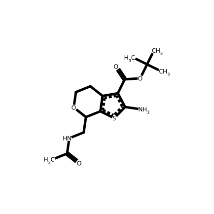 CC(=O)NCC1OCCc2c1sc(N)c2C(=O)OC(C)(C)C